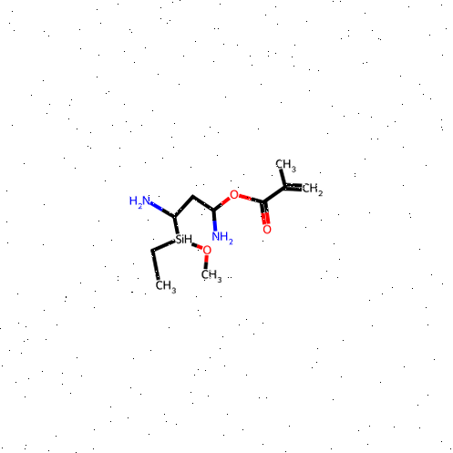 C=C(C)C(=O)OC(N)CC(N)[SiH](CC)OC